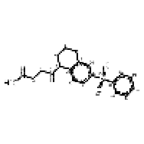 CNCCNC1CCCc2cc(S(=O)(=O)c3ccccc3)ccc21